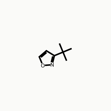 CC(C)(C)c1ccon1